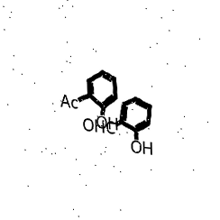 CC(=O)c1ccccc1O.O=Cc1ccccc1O